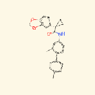 Cc1ccc(-c2ccc(NC(=O)C3(c4ccc5c(c4)OCO5)CC3)cc2C)cc1